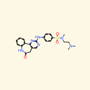 CN(C)CCN(C)S(=O)(=O)c1ccc(Nc2ncc3c(n2)-c2ccccc2NC(=O)C3)cc1